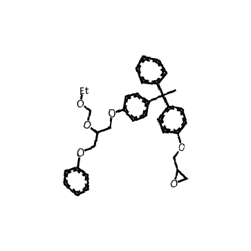 CCOCOC(COc1ccccc1)COc1ccc(C(C)(c2ccccc2)c2ccc(OCC3CO3)cc2)cc1